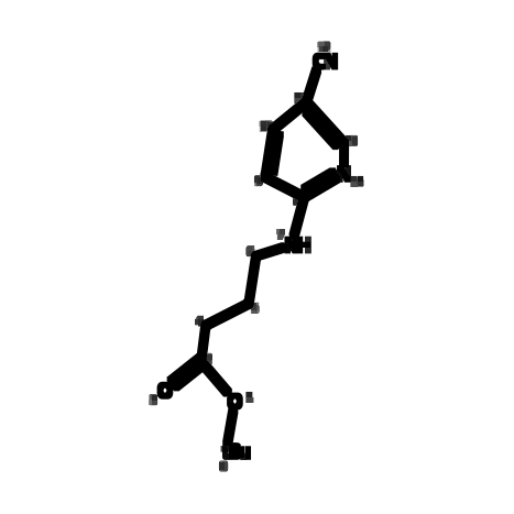 CC(C)(C)OC(=O)CCCNc1ccc(C#N)cn1